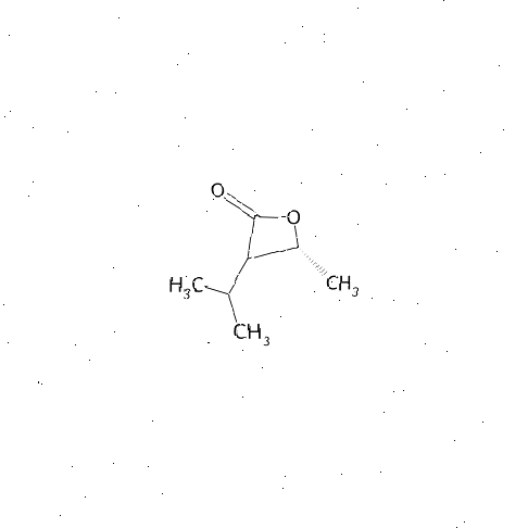 CC(C)C1C(=O)O[C@@H]1C